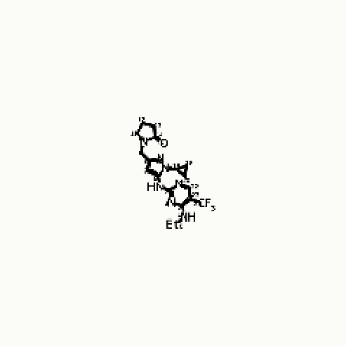 CCNc1nc(Nc2cc(CN3CCCC3=O)nn2C2CC2)ncc1C(F)(F)F